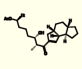 CC[C@@H](CCC[C@H](O)[C@@H](C)C(=O)C1=C[C@@H]2[C@@H](CC[C@@H]3CCC[C@H]32)C1)OC(C)=O